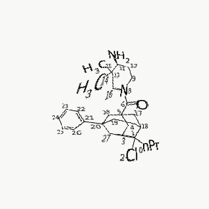 CCCC1(Cl)C2CC3(C(=O)N4CC[C@H](N)C(C)(C)C4)CC1CC(c1ccccc1)(C2)C3